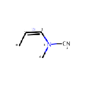 C/C=C\N(C)C#N